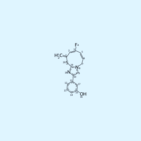 C=C1/C=C(F)\C=C/Cn2cc(-c3cccc(O)c3)nc2S1